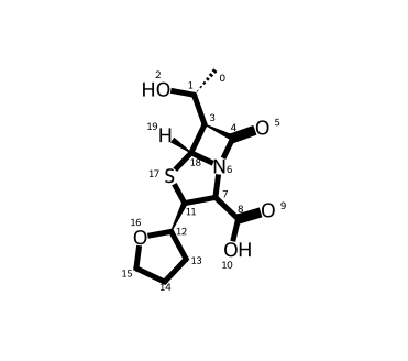 C[C@@H](O)[C@H]1C(=O)N2C(C(=O)O)C([C@H]3CCCO3)S[C@H]12